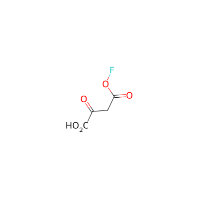 O=C(CC(=O)C(=O)O)OF